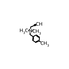 C#CC[N+](C)(C)Cc1ccc(C)cc1